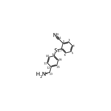 N#Cc1ccccc1Sc1ccc(CN)cc1